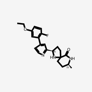 CCOc1ccc(F)c(-c2ccnc([C@H]3CCC4(CC[C@H](C)NC4=O)N3)c2)c1